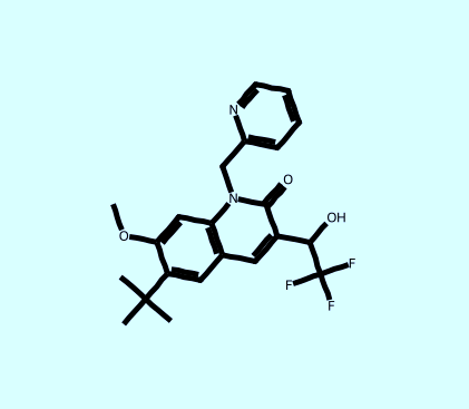 COc1cc2c(cc1C(C)(C)C)cc(C(O)C(F)(F)F)c(=O)n2Cc1ccccn1